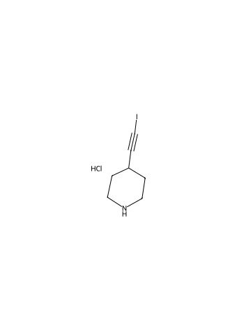 Cl.IC#CC1CCNCC1